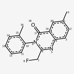 Cc1ccc2nc(CF)n(-c3ccccc3C)c(=O)c2c1